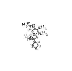 Cc1c(C)c2c(c(C)c1CC(O)c1ccccc1)CC(C)O2